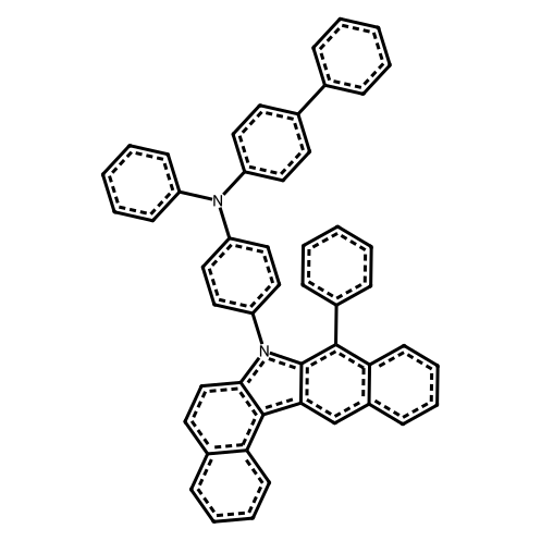 c1ccc(-c2ccc(N(c3ccccc3)c3ccc(-n4c5ccc6ccccc6c5c5cc6ccccc6c(-c6ccccc6)c54)cc3)cc2)cc1